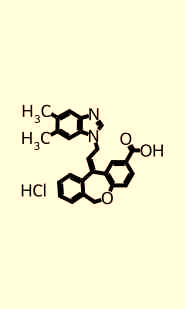 Cc1cc2ncn(CC=C3c4ccccc4COc4ccc(C(=O)O)cc43)c2cc1C.Cl